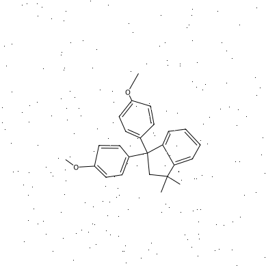 COc1ccc(C2(c3ccc(OC)cc3)CC(C)(C)c3ccccc32)cc1